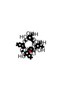 CC1(C)Cc2c(c(O)c3c(ooc4c5c(c6cc4n3c3cc(Cl)cc(c3)n(-c3c(O)c(O)c(C(C)(C)C)c(O)c3O)c3cc4c(oo6)c(O)c(O)c(O)c4o3)CC(C)(C)C5)c2O)C1